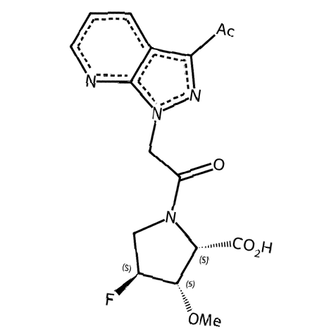 CO[C@H]1[C@@H](C(=O)O)N(C(=O)Cn2nc(C(C)=O)c3cccnc32)C[C@@H]1F